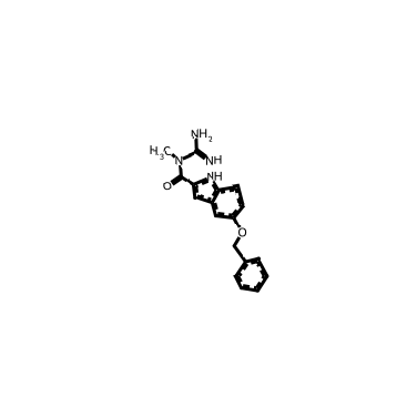 CN(C(=N)N)C(=O)c1cc2cc(OCc3ccccc3)ccc2[nH]1